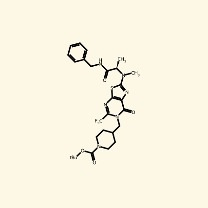 C[C@H](C(=O)NCc1ccccc1)N(C)c1nc2c(=O)n(CC3CCN(C(=O)OC(C)(C)C)CC3)c(C(F)(F)F)nc2s1